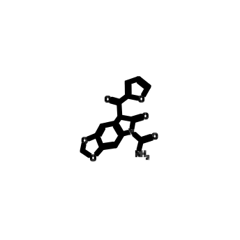 NC(=O)N1C(=O)C(C(=O)c2ccco2)c2cc3c(cc21)OCO3